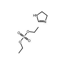 C1=NCCN1.CCOS(=O)(=O)OCC